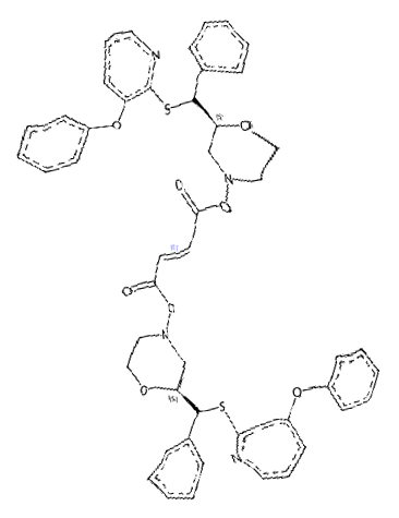 O=C(/C=C/C(=O)ON1CCO[C@H](C(Sc2ncccc2Oc2ccccc2)c2ccccc2)C1)ON1CCO[C@H](C(Sc2ncccc2Oc2ccccc2)c2ccccc2)C1